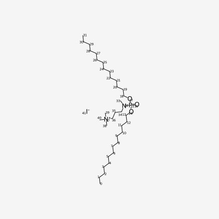 CCCCCCCCCCCCCCOP(=O)(OCCCCCCCCCCCCCC)N(C)CCC[N+](C)(C)C.[I-]